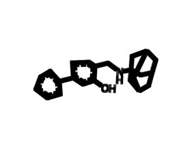 Oc1cc(-c2ccccc2)ccc1CNC12CC3CC(CC(C3)C1)C2